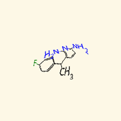 CC(c1ccc(F)cc1)c1ccc(N)nc1N